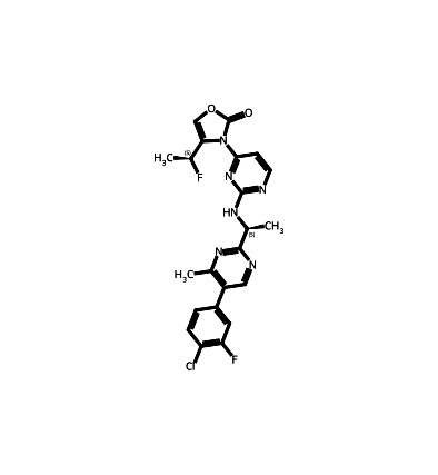 Cc1nc([C@H](C)Nc2nccc(-n3c([C@H](C)F)coc3=O)n2)ncc1-c1ccc(Cl)c(F)c1